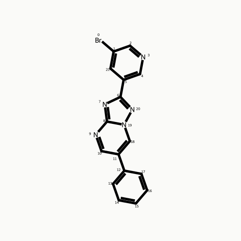 Brc1cncc(-c2nc3ncc(-c4ccccc4)cn3n2)c1